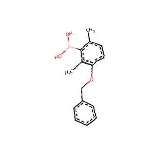 Cc1ccc(OCc2ccccc2)c(C)c1B(O)O